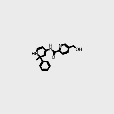 CC1(c2ccccc2)C=C(NC(=O)c2ccc(CO)cn2)C=CN1